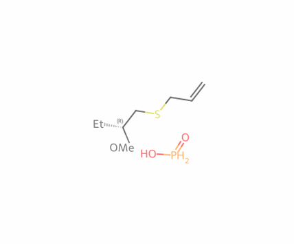 C=CCSC[C@@H](CC)OC.O=[PH2]O